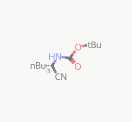 CCCC[C@@H](C#N)NC(=O)OC(C)(C)C